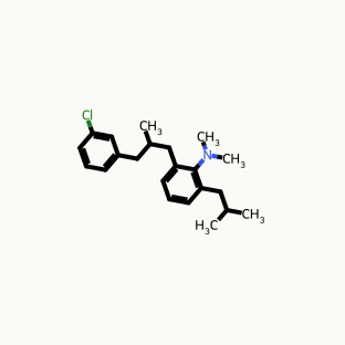 CC(C)Cc1cccc(CC(C)Cc2cccc(Cl)c2)c1N(C)C